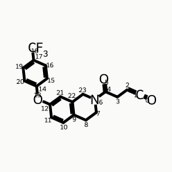 O=C=CCC(=O)N1CCc2ccc(Oc3ccc(C(F)(F)F)cc3)cc2C1